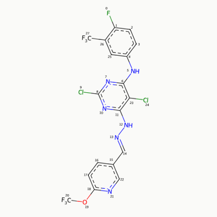 Fc1ccc(Nc2nc(Cl)nc(N/N=C/c3ccc(OC(F)(F)F)nc3)c2Cl)cc1C(F)(F)F